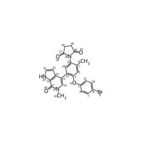 Cc1cc(Oc2ccc(Br)cc2)c(-c2cn(C)c(=O)c3[nH]ccc23)cc1N1C(=O)CCC1=O